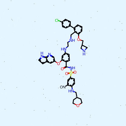 O=Nc1cc(S(=O)(=O)NC(=O)c2ccc(NCCNCc3c(OCC4CNC4)cccc3-c3ccc(Cl)cc3)cc2Oc2cnc3[nH]ccc3c2)ccc1NCC1CCOCC1